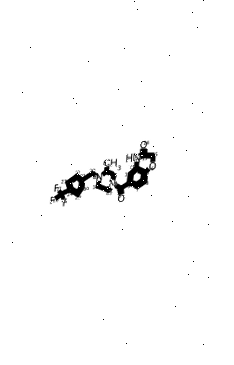 CC1CN(C(=O)c2ccc3c(c2)NC(=O)CO3)CCN1Cc1ccc(C(F)(F)F)cc1